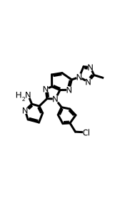 Cc1ncn(-c2ccc3nc(-c4cccnc4N)n(-c4ccc(CCl)cc4)c3n2)n1